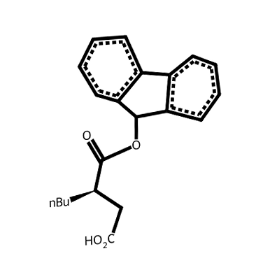 CCCC[C@H](CC(=O)O)C(=O)OC1c2ccccc2-c2ccccc21